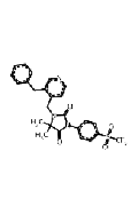 CC1(C)C(=O)N(c2ccc(S(=O)(=O)C(F)(F)F)cc2)C(=O)N1Cc1ccncc1Cc1ccccc1